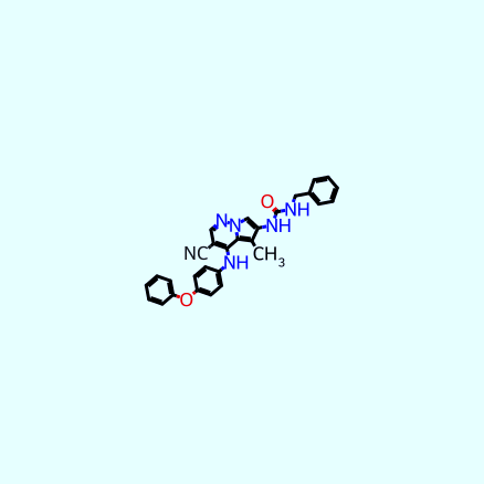 Cc1c(NC(=O)NCc2ccccc2)cn2ncc(C#N)c(Nc3ccc(Oc4ccccc4)cc3)c12